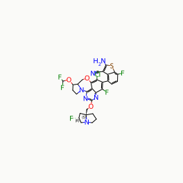 N#Cc1c(N)sc2c(F)ccc(-c3c(Cl)c4c5c(nc(OC[C@@]67CCCN6C[C@H](F)C7)nc5c3F)N3CCC(OC(F)F)C3CO4)c12